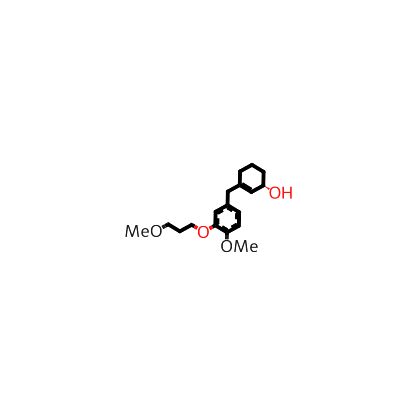 COCCCOc1cc(CC2=C[C@@H](O)CCC2)ccc1OC